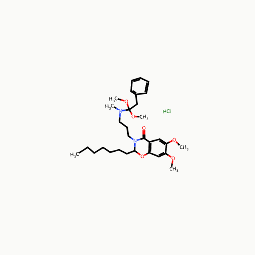 CCCCCCCC1Oc2cc(OC)c(OC)cc2C(=O)N1CCCN(C)C(Cc1ccccc1)(OC)OC.Cl